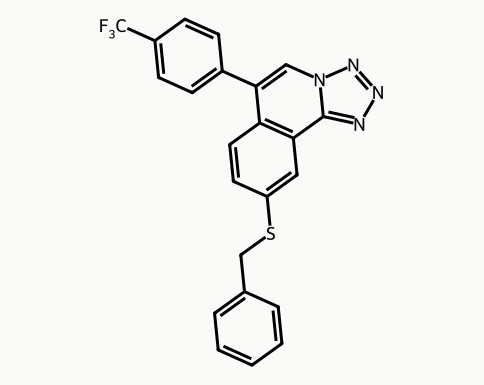 FC(F)(F)c1ccc(-c2cn3nnnc3c3cc(SCc4ccccc4)ccc23)cc1